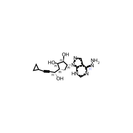 N/N=c1/nc[nH]c2c1cnn2[C@@H]1C[C@H]([C@H](O)C#CC2CC2)[C@@H](O)[C@H]1O